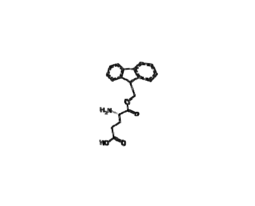 N[C@@H](CCC(=O)O)C(=O)OCC1c2ccccc2-c2ccccc21